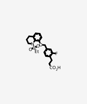 CCS(=O)(=O)N1CCCc2cccc(OCc3ccc(CCC(=O)O)c(F)c3)c21